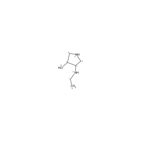 CCNC1CNCC1O